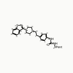 CCCCCNC(=O)Nc1ccc(CCN2CCN(c3nsc4ccccc34)CC2)cc1